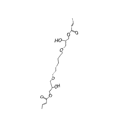 CC=CC(=O)OCC(O)COCCCCCCOCC(O)COC(=O)C=CC